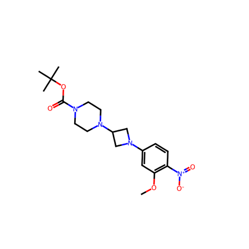 COc1cc(N2CC(N3CCN(C(=O)OC(C)(C)C)CC3)C2)ccc1[N+](=O)[O-]